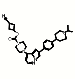 CC(C)N1CCC(c2ccc(-c3cc4c(N5CCN(C(=O)OC6CC(C#N)C6)CC5)ccnn4c3)cc2)CC1